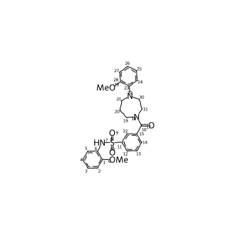 COc1ccccc1NS(=O)(=O)c1cccc(C(=O)N2CCCN(c3ccccc3OC)CC2)c1